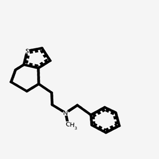 CN(CCC1CCCc2sccc21)Cc1ccccc1